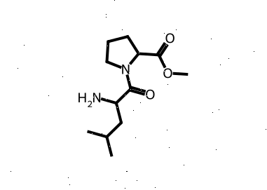 COC(=O)C1CCCN1C(=O)C(N)CC(C)C